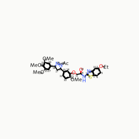 CCOc1ccc2sc(NC(=O)COc3cc(C4CC(c5cc(OC)c(OC)c(OC)c5)=NN4C(C)=O)ccc3OC)nc2c1